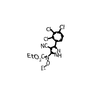 CCOC(=O)N(OCC)c1[nH]nc(-c2ccc(Cl)c(Cl)c2Cl)c1C#N